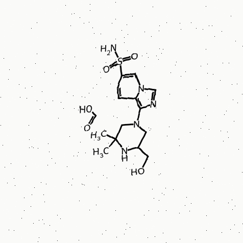 CC1(C)CN(c2ncn3cc(S(N)(=O)=O)ccc23)CC(CO)N1.O=CO